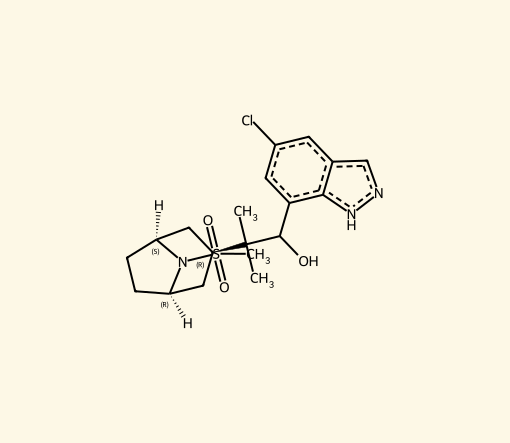 CC(C)(C(O)c1cc(Cl)cc2cn[nH]c12)[C@H]1C[C@H]2CC[C@@H](C1)N2S(C)(=O)=O